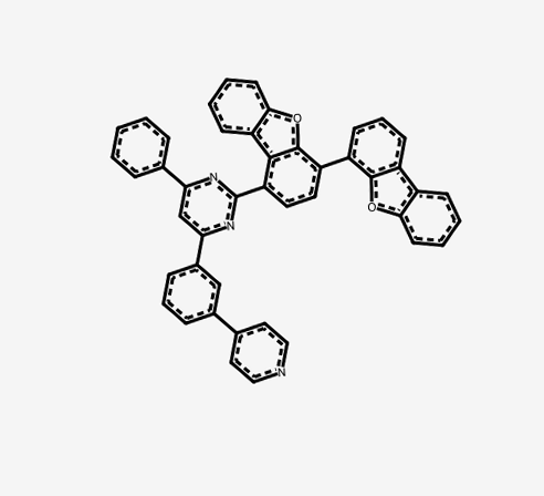 c1ccc(-c2cc(-c3cccc(-c4ccncc4)c3)nc(-c3ccc(-c4cccc5c4oc4ccccc45)c4oc5ccccc5c34)n2)cc1